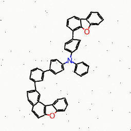 c1ccc(N(c2ccc(-c3cccc(-c4ccc5ccc6oc7ccccc7c6c5c4)c3)cc2)c2ccc(-c3cccc4c3oc3ccccc34)cc2)cc1